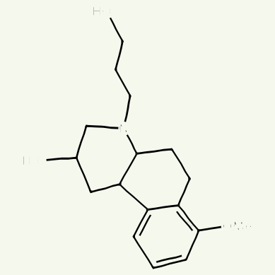 COc1cccc2c1CCC1C2CC(C)CN1CCCO